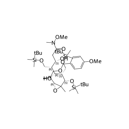 COc1ccc(COC[C@H](C)[C@H]2OC2(C)[C@@H](O[Si](C)(C)C(C)(C)C)[C@@H](CO[Si](C)(C)C(C)(C)C)[C@H](O)[C@H](CO[Si](C)(C)C(C)(C)C)[C@@H](O)CC(=O)N(C)OC)cc1